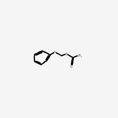 O=C(OCSc1ccccc1)C(F)(F)F